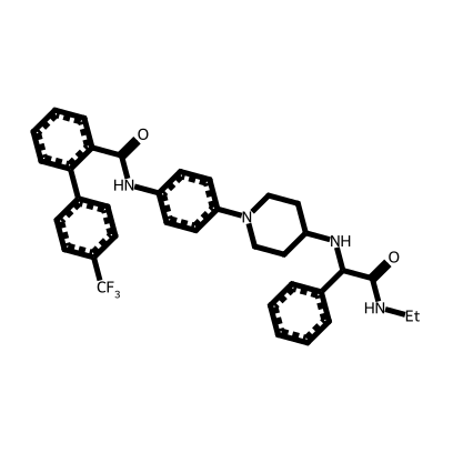 CCNC(=O)C(NC1CCN(c2ccc(NC(=O)c3ccccc3-c3ccc(C(F)(F)F)cc3)cc2)CC1)c1ccccc1